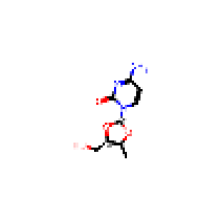 CC1O[C@H](n2ccc(N)nc2=O)O[C@@H]1CO